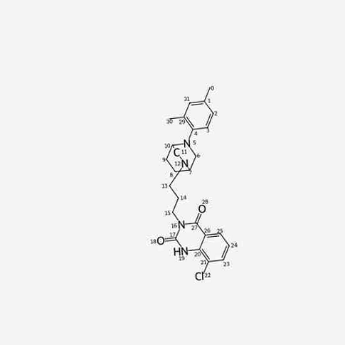 Cc1ccc(N2CC3CCC2CN3CCCn2c(=O)[nH]c3c(Cl)cccc3c2=O)c(C)c1